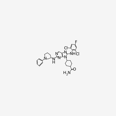 NC(=O)C1CCC(n2c(Nc3c(Cl)cc(F)cc3Cl)nc3cnc(NC4CCCN(c5ccccc5)C4)nc32)CC1